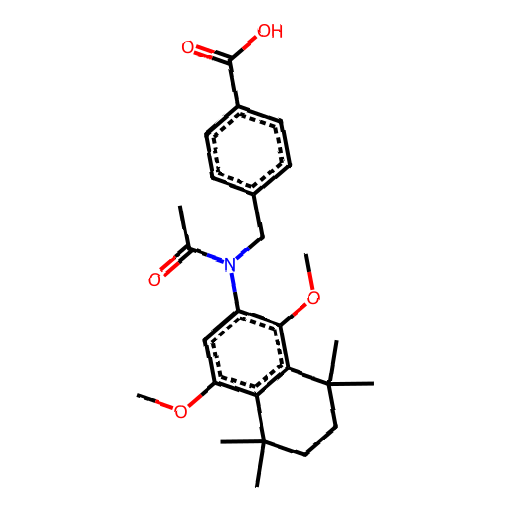 COc1cc(N(Cc2ccc(C(=O)O)cc2)C(C)=O)c(OC)c2c1C(C)(C)CCC2(C)C